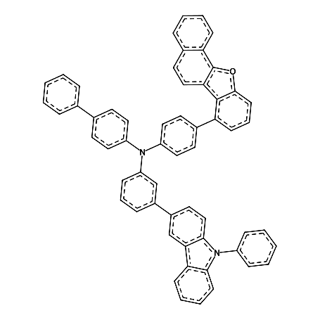 c1ccc(-c2ccc(N(c3ccc(-c4cccc5oc6c7ccccc7ccc6c45)cc3)c3cccc(-c4ccc5c(c4)c4ccccc4n5-c4ccccc4)c3)cc2)cc1